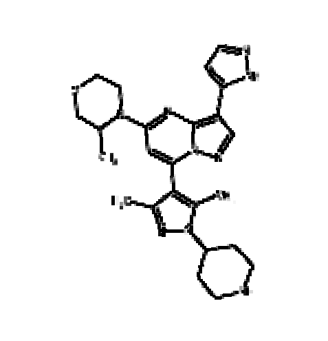 Cc1nn(C2CCNCC2)c(C)c1-c1cc(N2CCOCC2C)nc2c(-c3ccn[nH]3)cnn12